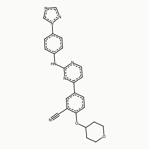 N#Cc1cc(-c2ccnc(Nc3ccc(-n4cncn4)cc3)n2)ccc1OC1CCOCC1